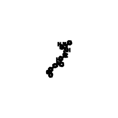 N/C(=C\C(NCC1=CC(c2cccc(C3=C(Nc4ccc(-c5ccc6oc7ccccc7c6c5)cc4)C=CCC3)c2)CCC1)C1=CCCC=C1)c1ccccc1